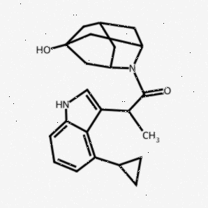 CC(C(=O)N1C2CC3CC1CC(O)(C3)C2)c1c[nH]c2cccc(C3CC3)c12